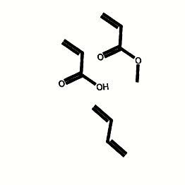 C=CC(=O)O.C=CC(=O)OC.C=CC=C